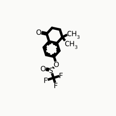 CC1(C)CCC(=O)c2ccc(OS(=O)C(F)(F)F)cc21